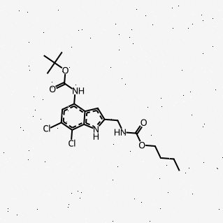 CCCCOC(=O)NCc1cc2c(NC(=O)OC(C)(C)C)cc(Cl)c(Cl)c2[nH]1